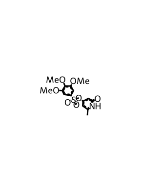 COc1cc(S(=O)(=O)Oc2cc(C)[nH]c(=O)c2)cc(OC)c1OC